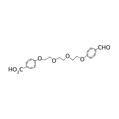 O=Cc1ccc(OCCOCCOCCOc2ccc(C(=O)O)cc2)cc1